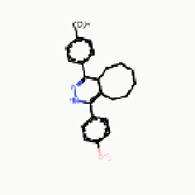 Bc1ccc(C2=C3CCCCCCC3C(c3ccc(C(=O)O)cc3)=NN2)cc1